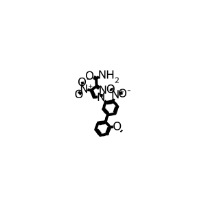 COc1ccccc1-c1ccc([N+](=O)[O-])c(-n2cc([N+](=O)[O-])c(C(N)=O)n2)c1